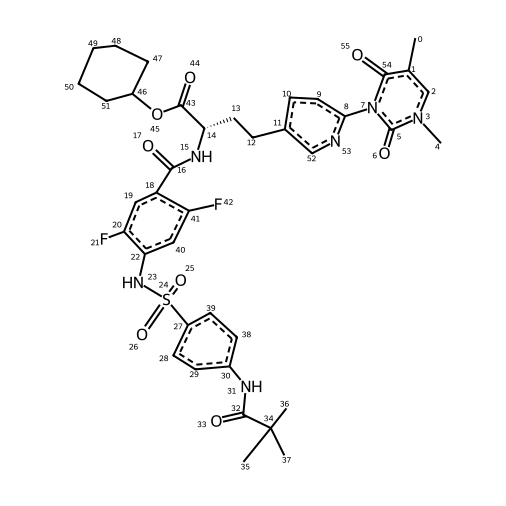 Cc1cn(C)c(=O)n(-c2ccc(CC[C@H](NC(=O)c3cc(F)c(NS(=O)(=O)c4ccc(NC(=O)C(C)(C)C)cc4)cc3F)C(=O)OC3CCCCC3)cn2)c1=O